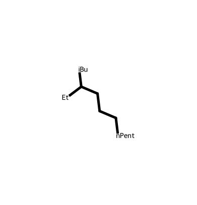 [CH2]CC(C)C(CC)CCCCCCCC